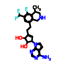 CC1CNCc2c(CCC3=CC(n4ccc5c(N)ncnc54)C(O)C3O)cc(C(F)F)c(F)c21